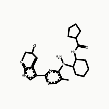 NN(c1nc(-c2c[nH]c3c2=CC(Cl)CN=3)ncc1F)C1CCCCC1NC(=O)C1CCCC1